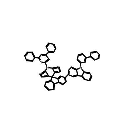 c1ccc(-c2cccc(-n3c4ccccc4c4cc(-c5ccc6c(c5)C5(c7ccccc7-6)c6ccccc6N(c6cc(-c7ccccc7)cc(-c7ccccc7)n6)c6ccccc65)ccc43)c2)cc1